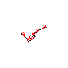 C=CC(=O)OCCCCCCOC(/C=C\C(=C)C(=O)Oc1ccc(OC(=O)c2ccc(OCCCCCCOC(=O)C=C)cc2)c(C)c1)=C/CC